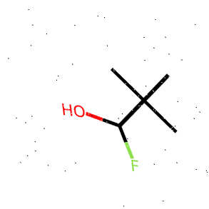 CC(C)(C)C(O)F